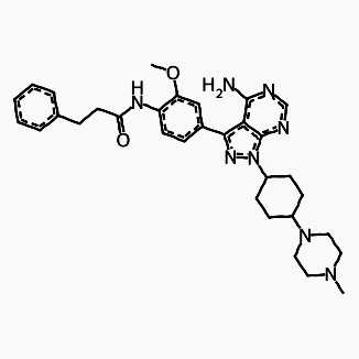 COc1cc(-c2nn(C3CCC(N4CCN(C)CC4)CC3)c3ncnc(N)c23)ccc1NC(=O)CCc1ccccc1